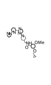 COc1cc(OCC2CC2)cc(C(=O)NCC2CCN(c3ccnc(-c4cccc(-n5cccn5)n4)n3)CC2)c1